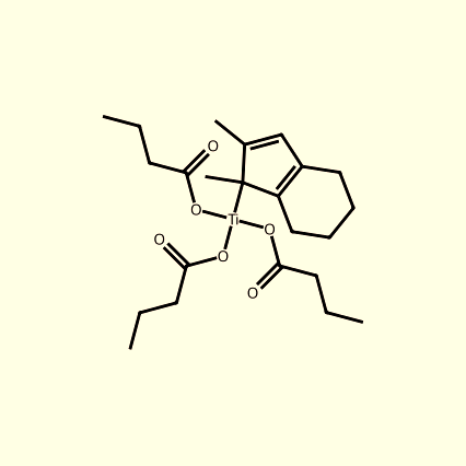 CCCC(=O)[O][Ti]([O]C(=O)CCC)([O]C(=O)CCC)[C]1(C)C(C)=CC2=C1CCCC2